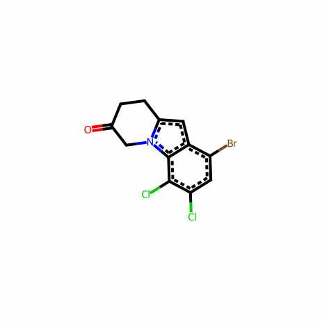 O=C1CCc2cc3c(Br)cc(Cl)c(Cl)c3n2C1